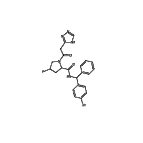 CC(C)c1ccc(C(NC(=O)C2CC(F)CN2C(=O)Cc2nnc[nH]2)c2ccccc2)cc1